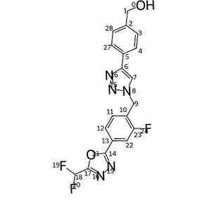 OCc1ccc(-c2cn(Cc3ccc(-c4nnc(C(F)F)o4)cc3F)nn2)cc1